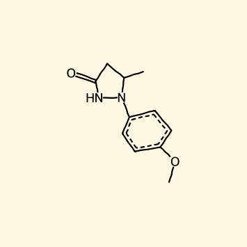 COc1ccc(N2NC(=O)CC2C)cc1